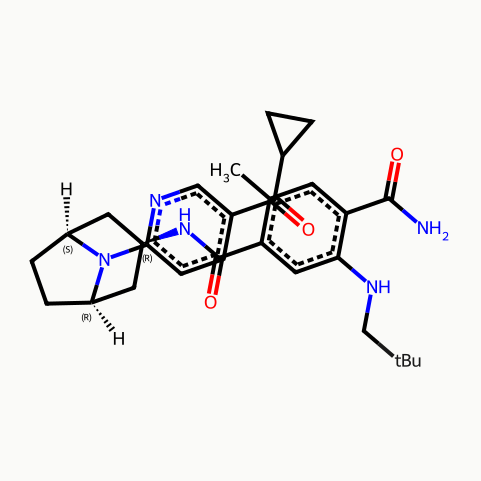 Cc1cc(C(N)=O)c(NCC(C)(C)C)cc1C(=O)N[C@H]1C[C@H]2CC[C@@H](C1)N2c1ccc(C(=O)C2CC2)cn1